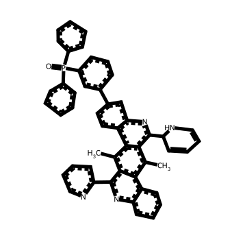 Cc1c2c(C3C=CC=CN3)nc3cc(-c4cccc(P(=O)(c5ccccc5)c5ccccc5)c4)ccc3c2c(C)c2c(-c3ccccn3)nc3ccccc3c12